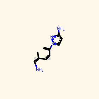 C=C(/C=C\C(C)=C/N)n1ccc(N)n1